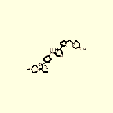 C=CC(N1CCN(C)CC1)S(=O)(=O)c1ccc(Nc2cncc(-c3ccc(CN4CCC(O)CC4)s3)n2)cc1